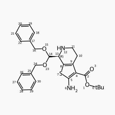 CC(C)(C)OC(=O)c1c(N)sc2c1CCN[C@@H]2C(OCc1ccccc1)OCc1ccccc1